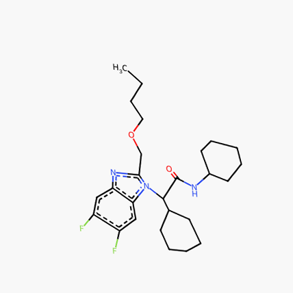 CCCCOCc1nc2cc(F)c(F)cc2n1C(C(=O)NC1CCCCC1)C1CCCCC1